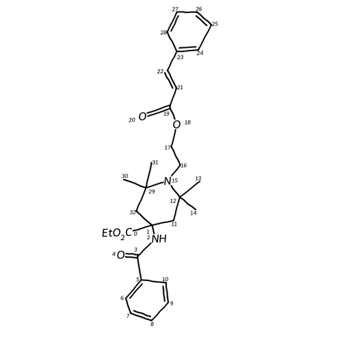 CCOC(=O)C1(NC(=O)c2ccccc2)CC(C)(C)N(CCOC(=O)C=Cc2ccccc2)C(C)(C)C1